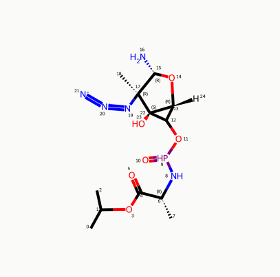 CC(C)OC(=O)[C@@H](C)N[PH](=O)OC1[C@H]2O[C@@H](N)[C@](C)(N=[N+]=[N-])[C@@]12O